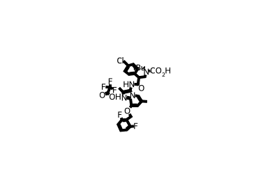 Cc1cc(OCc2c(F)cccc2F)c2nc(C)c(NC(=O)C(CN(C(=O)O)C(C)(C)C)c3ccc(Cl)cc3)n2c1.O=C(O)C(F)(F)F